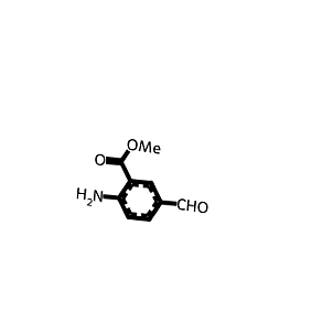 COC(=O)c1cc(C=O)ccc1N